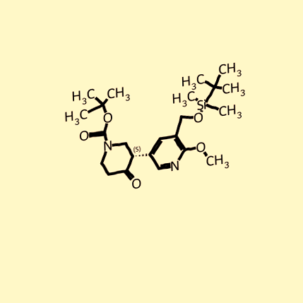 COc1ncc([C@H]2CN(C(=O)OC(C)(C)C)CCC2=O)cc1CO[Si](C)(C)C(C)(C)C